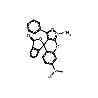 CCN(CC)c1ccc2c(c1)Oc1c(c(-c3ccccc3)nn1C)C21OC(=O)c2ccccc21